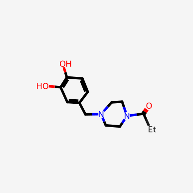 CCC(=O)N1CCN(Cc2ccc(O)c(O)c2)CC1